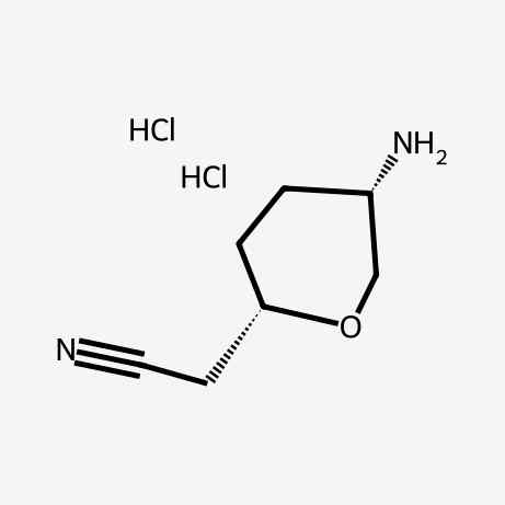 Cl.Cl.N#CC[C@@H]1CC[C@H](N)CO1